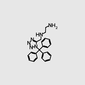 NCCNCc1nnnn1C(c1ccccc1)(c1ccccc1)c1ccccc1